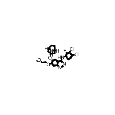 COCCOc1cc2ncnc(Nc3ccc(Cl)c(Cl)c3F)c2cc1O[C@@H]1C[C@H]2CC[C@@H](C1)N2